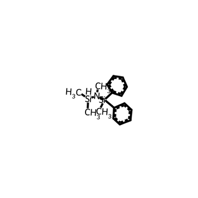 CN([SiH](C)C)[Si](C)(c1ccccc1)c1ccccc1